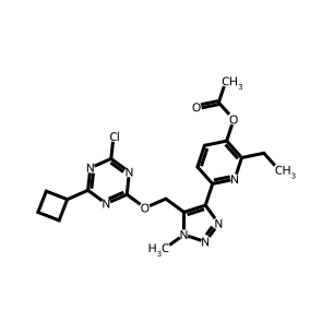 CCc1nc(-c2nnn(C)c2COc2nc(Cl)nc(C3CCC3)n2)ccc1OC(C)=O